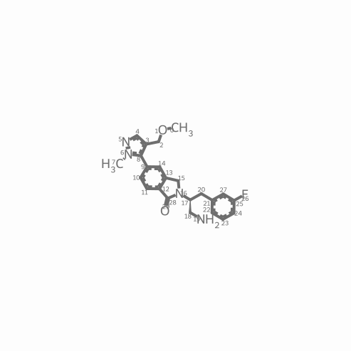 COCc1cnn(C)c1-c1ccc2c(c1)CN([C@H](CN)Cc1cccc(F)c1)C2=O